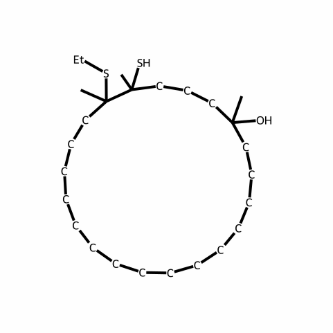 CCSC1(C)CCCCCCCCCCCCCCCC(C)(O)CCCC1(C)S